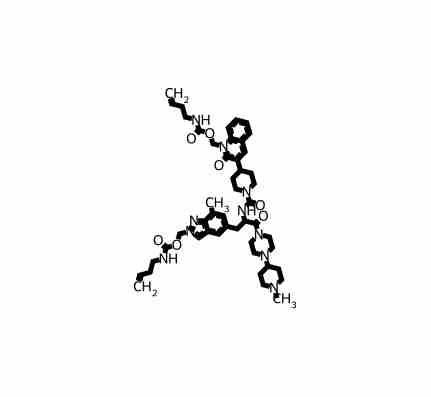 C=CCCNC(=O)OCn1cc2cc(CC(NC(=O)N3CCC(c4cc5ccccc5n(COC(=O)NCCC=C)c4=O)CC3)C(=O)N3CCN(C4CCN(C)CC4)CC3)cc(C)c2n1